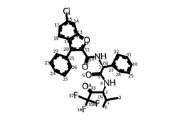 CC(C)[C@H](NC(=O)[C@@H](NC(=O)c1oc2cc(Cl)ccc2c1-c1ccccc1)c1ccccc1)C(=O)C(F)(F)F